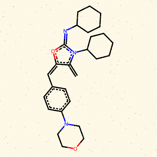 C=c1/c(=C\c2ccc(N3CCOCC3)cc2)o/c(=N/C2CCCCC2)n1C1CCCCC1